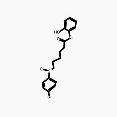 O=C(CCCCC[S+]([O-])c1ccc(F)cc1)Nc1ccccc1O